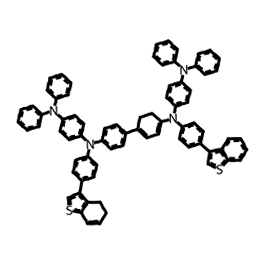 C1=Cc2scc(-c3ccc(N(c4ccc(C5=CC=C(N(c6ccc(-c7csc8ccccc78)cc6)c6ccc(N(c7ccccc7)c7ccccc7)cc6)CC5)cc4)c4ccc(N(c5ccccc5)c5ccccc5)cc4)cc3)c2CC1